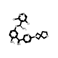 N=C(c1ccc(N2CC3(CCOC3)C2)nc1)c1cc(O[C@H](N)c2c(Cl)cnnc2Cl)ccc1N